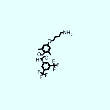 Cc1cc(OCCCCN)cc(C)c1S(=O)(=O)Nc1cc(C(F)(F)F)cc(C(F)(F)F)c1